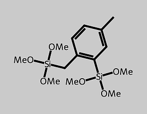 CO[Si](Cc1ccc(C)cc1[Si](OC)(OC)OC)(OC)OC